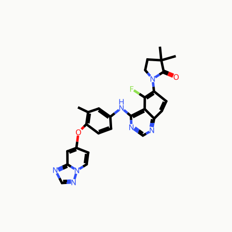 Cc1cc(Nc2ncnc3ccc(N4CCC(C)(C)C4=O)c(F)c23)ccc1Oc1ccn2ncnc2c1